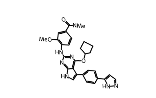 CNC(=O)c1ccc(Nc2nc(OC3CCCC3)c3c(-c4ccc(-c5ccn[nH]5)cc4)c[nH]c3n2)c(OC)c1